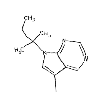 CCC(C)(C)n1cc(I)c2cncnc21